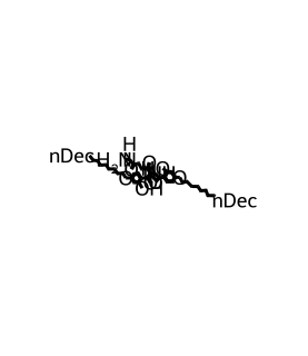 CCCCCCCCCCCCCCCCCCOc1ccc(C(=O)NN(C(=O)CCC(=O)NN)C(=O)c2ccc(OCCCCCCCCCCCCCCCCCC)cc2O)c(O)c1